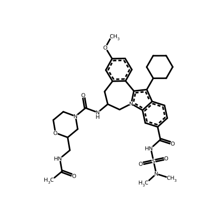 COc1ccc2c(c1)CC(NC(=O)N1CCOC(CNC(C)=O)C1)Cn1c-2c(C2CCCCC2)c2ccc(C(=O)NS(=O)(=O)N(C)C)cc21